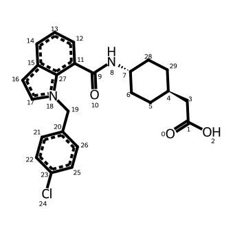 O=C(O)C[C@H]1CC[C@H](NC(=O)c2cccc3ccn(Cc4ccc(Cl)cc4)c23)CC1